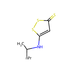 CCCC(C)Nc1cc(=S)ss1